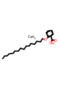 CCCCCCCCCCCCCCCCOc1ccccc1C(=O)O.[CaH2]